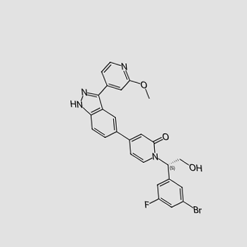 COc1cc(-c2n[nH]c3ccc(-c4ccn([C@H](CO)c5cc(F)cc(Br)c5)c(=O)c4)cc23)ccn1